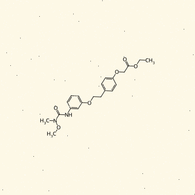 CCOC(=O)COc1ccc(CCOc2cccc(NC(=O)N(C)OC)c2)cc1